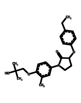 CCc1ccc(OC2CCN(c3ccc(OCC(C)(C)O)c(C)c3)C2=O)cc1